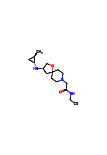 C[C@@H]1C[C@H]1NC1COC2(CCN(CC(=O)NCC#N)CC2)C1